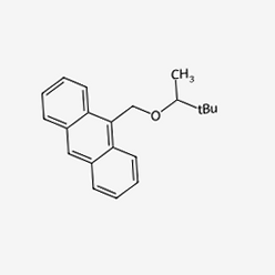 CC(OCc1c2ccccc2cc2ccccc12)C(C)(C)C